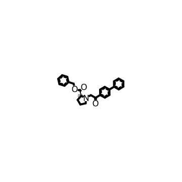 O=C(CN1CCC[C@H]1C(=O)OCc1ccccc1)c1ccc(-c2ccccc2)cc1